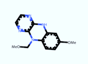 COCN1c2ccc(OC)cc2Nc2nccnc21